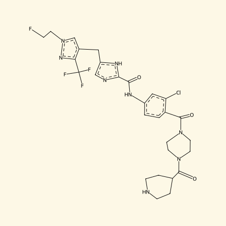 O=C(Nc1ccc(C(=O)N2CCN(C(=O)C3CCNCC3)CC2)c(Cl)c1)c1ncc(Cc2cn(CCF)nc2C(F)(F)F)[nH]1